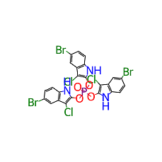 O=P(Oc1[nH]c2ccc(Br)cc2c1Cl)(Oc1[nH]c2ccc(Br)cc2c1Cl)Oc1[nH]c2ccc(Br)cc2c1Cl